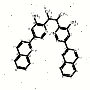 CC(c1ncc(-c2cc3ccccc3cn2)cc1N)C(C)c1ncc(-c2ccc3ccccc3n2)cc1N